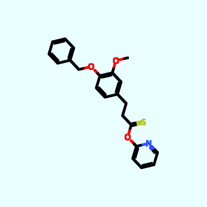 COc1cc(CCC(=S)Oc2ccccn2)ccc1OCc1ccccc1